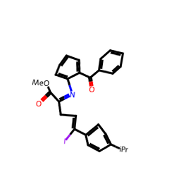 COC(=O)C(CC=C(I)c1ccc(C(C)C)cc1)=Nc1ccccc1C(=O)c1ccccc1